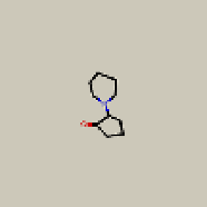 O=C1CCCC1N1CCCCC1